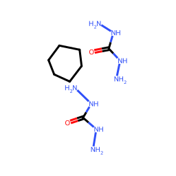 C1CCCCC1.NNC(=O)NN.NNC(=O)NN